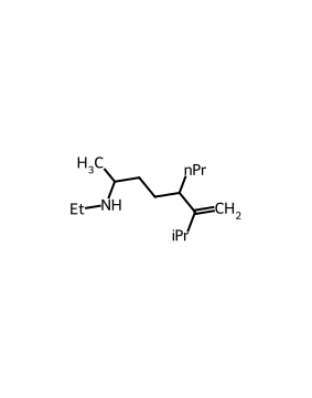 C=C(C(C)C)C(CCC)CCC(C)NCC